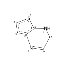 C1=Nc2ccsc2NC1